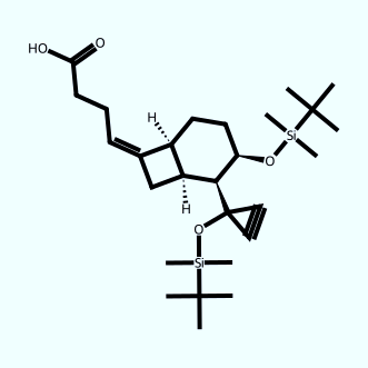 CC(C)(C)[Si](C)(C)O[C@@H]1CC[C@@H]2/C(=C\CCC(=O)O)C[C@@H]2[C@@H]1C1(O[Si](C)(C)C(C)(C)C)C#C1